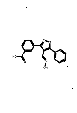 O=C(O)c1cccc(-c2noc(-c3ccccc3)c2/C=N/O)c1